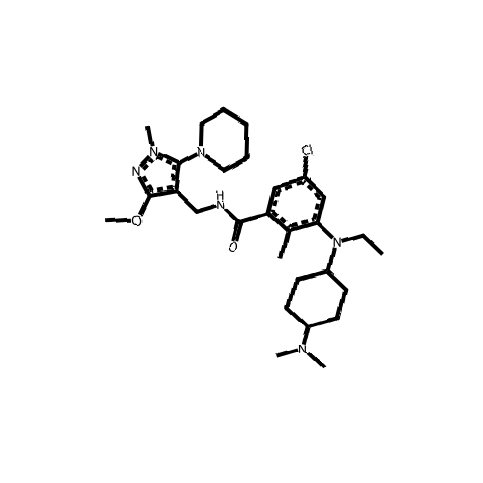 CCN(c1cc(Cl)cc(C(=O)NCc2c(OC)nn(C)c2N2CCCCC2)c1C)C1CCC(N(C)C)CC1